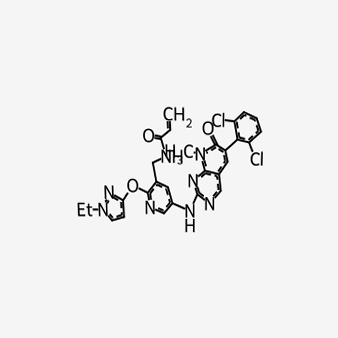 C=CC(=O)NCc1cc(Nc2ncc3cc(-c4c(Cl)cccc4Cl)c(=O)n(C)c3n2)cnc1Oc1ccn(CC)n1